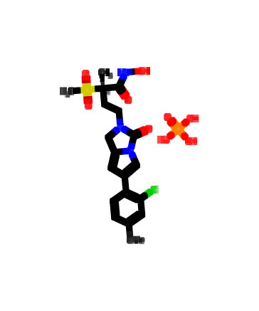 COc1ccc(-c2cc3n(c2)C(=O)N(CC[C@](C)(C(=O)NO)S(C)(=O)=O)C3)c(Cl)c1.O=P(O)(O)O